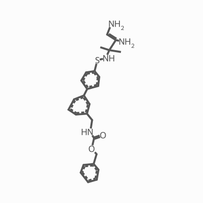 CC(C)(NSc1ccc(-c2cccc(CNC(=O)OCc3ccccc3)c2)cc1)/C(N)=C/N